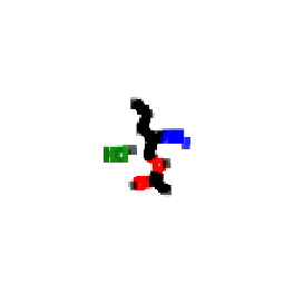 CCCC(N)COC(C)=O.Cl